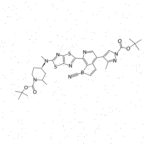 Cc1nn(C(=O)OC(C)(C)C)cc1-c1cnc(-c2nc3sc(N(C)[C@@H]4CCN(C(=O)OC(C)(C)C)C(C)C4)nc3s2)c2c1C=CB2C#N